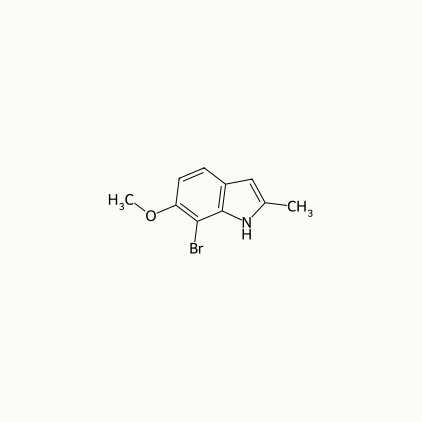 COc1ccc2cc(C)[nH]c2c1Br